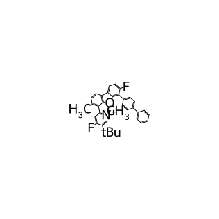 Cc1ccc2c(oc3c(-c4ccc(-c5ccccc5)cc4)c(F)ccc32)c1-c1cc(F)c(C(C)(C)C)c[n+]1C